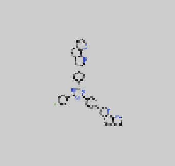 Fc1ccc(-c2nc(-c3ccc(-c4cnc5c(ccc6cccnc65)c4)cc3)nc(-c3ccc(-c4cnc5c(ccc6cccnc65)c4)cc3)n2)cc1